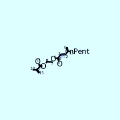 C=C(/C=C/C(=O)OCCOC(=O)C(=C)C)CCCCC